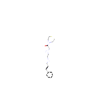 O=C(CNCCNC/C=C/c1ccccc1)N1CCSCC1